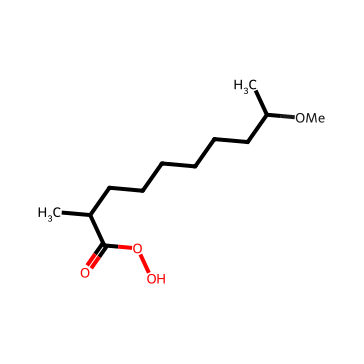 COC(C)CCCCCCC(C)C(=O)OO